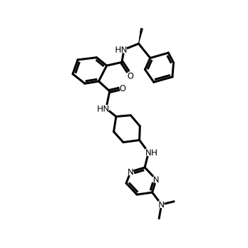 C[C@H](NC(=O)c1ccccc1C(=O)NC1CCC(Nc2nccc(N(C)C)n2)CC1)c1ccccc1